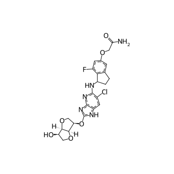 NC(=O)COc1cc(F)c2c(c1)CCC2Nc1nc2nc(O[C@@H]3CO[C@H]4[C@@H]3OC[C@H]4O)[nH]c2cc1Cl